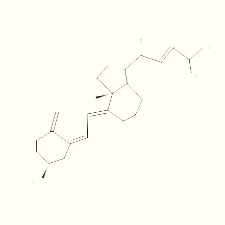 C=C1/C(=C\C=C2/CCC[C@]3(C)[C@@H]([C@H](C)/C=C/C(O)C(C)C)CC[C@@H]23)C[C@@H](O)C[C@@H]1O